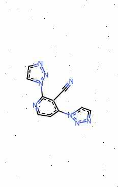 N#Cc1c(-n2ccnn2)ccnc1-n1ccnn1